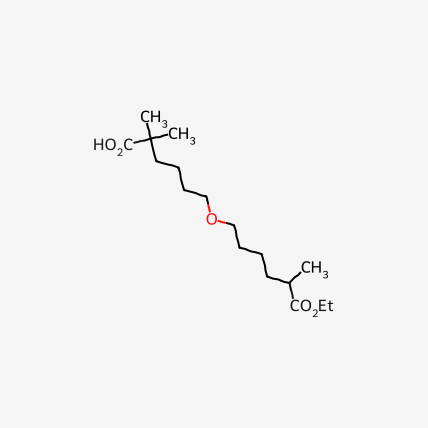 CCOC(=O)C(C)CCCCOCCCCC(C)(C)C(=O)O